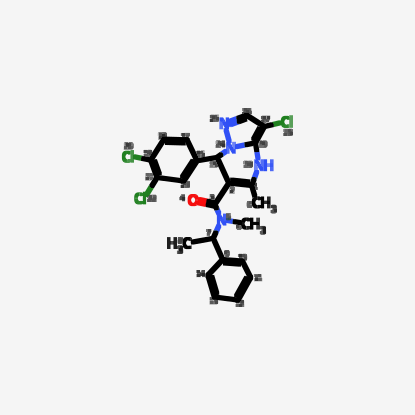 CC1=C(C(=O)N(C)C(C)c2ccccc2)C(c2ccc(Cl)c(Cl)c2)n2ncc(Cl)c2N1